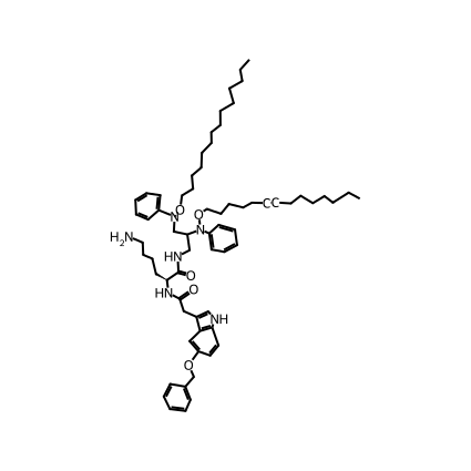 CCCCCCCCCCCCCCON(CC(CNC(=O)[C@H](CCCCN)NC(=O)Cc1c[nH]c2ccc(OCc3ccccc3)cc12)N(OCCCCCCCCCCCCCC)c1ccccc1)c1ccccc1